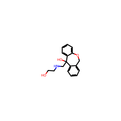 OCCNCC1(O)c2ccccc2COc2ccccc21